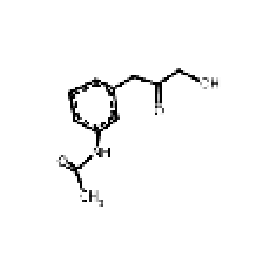 CC(=O)Nc1cccc(CC(=O)CO)c1